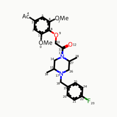 COc1cc(C(C)=O)cc(OC)c1OCC(=O)N1CC(C)N(Cc2ccc(F)cc2)CC1C